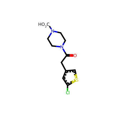 O=C(O)N1CCN(C(=O)Cc2csc(Cl)c2)CC1